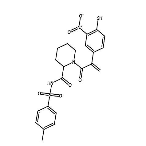 C=C(C(=O)N1CCCCC1C(=O)NS(=O)(=O)c1ccc(C)cc1)c1ccc(S)c([N+](=O)[O-])c1